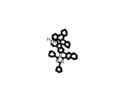 C=CC1=C(/C=C\C)c2ccc(-c3cc4ccccc4cc3C3N=C(c4ccccc4)N=C(c4ccccc4)N3)cc2C12c1ccccc1-c1c2c2ccccc2c2ccccc12